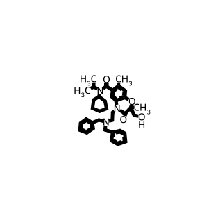 Cc1cc2c(cc1C(=O)N(C(C)C)C1CCCCC1)N(CCN(Cc1ccccc1)Cc1ccccc1)C(=O)C(C)(CO)O2